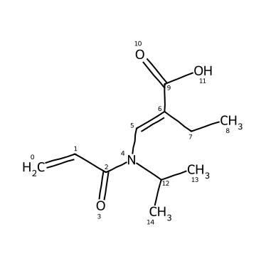 C=CC(=O)N(C=C(CC)C(=O)O)C(C)C